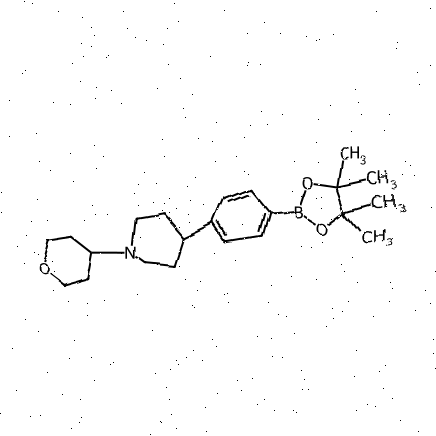 CC1(C)OB(c2ccc(C3CCN(C4CCOCC4)CC3)cc2)OC1(C)C